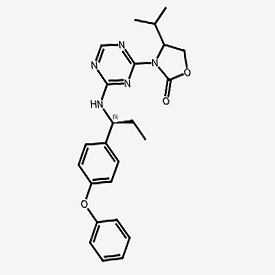 CC[C@H](Nc1ncnc(N2C(=O)OCC2C(C)C)n1)c1ccc(Oc2ccccc2)cc1